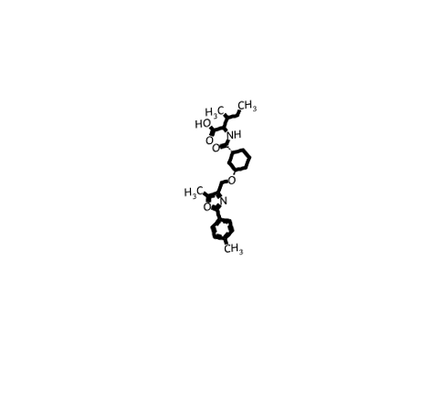 CCC(C)C(NC(=O)[C@@H]1CCC[C@H](OCc2nc(-c3ccc(C)cc3)oc2C)C1)C(=O)O